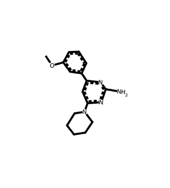 COc1cccc(-c2cc(N3CCCCC3)nc(N)n2)c1